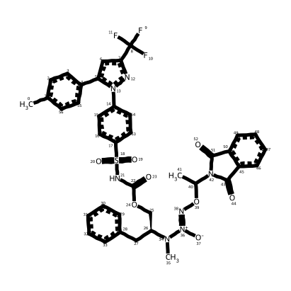 Cc1ccc(-c2cc(C(F)(F)F)nn2-c2ccc(S(=O)(=O)NC(=O)OC[C@H](Cc3ccccc3)N(C)[N+]([O-])=NOC(C)N3C(=O)c4ccccc4C3=O)cc2)cc1